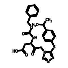 CC(C)c1ccc(Sc2nnnn2CC(=O)C(CC(=O)O)NC(=O)OCc2ccccc2)cc1